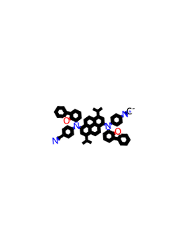 [C-]#[N+]c1ccc(N(c2cc(C(C)C)c3ccc4c(N(c5ccc(C#N)cc5)c5cccc6c5oc5ccccc56)cc(C(C)C)c5ccc2c3c54)c2cccc3c2oc2ccccc23)cc1